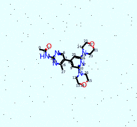 CC(=O)Nc1ncc(-c2cc(N3CCOCC3)nc(N3CCOCC3)c2)c(C)n1